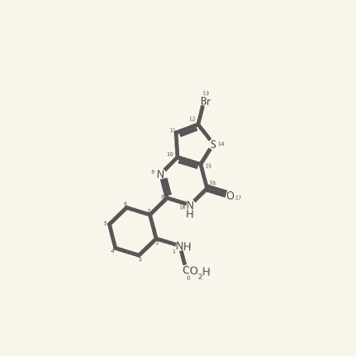 O=C(O)NC1CCCCC1c1nc2cc(Br)sc2c(=O)[nH]1